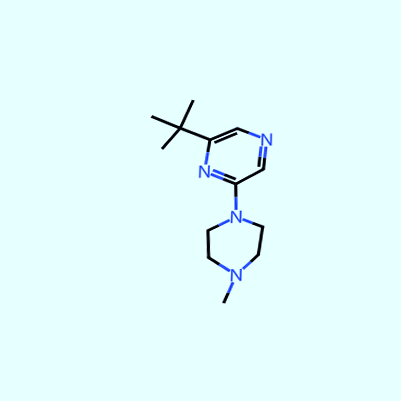 CN1CCN(c2cncc(C(C)(C)C)n2)CC1